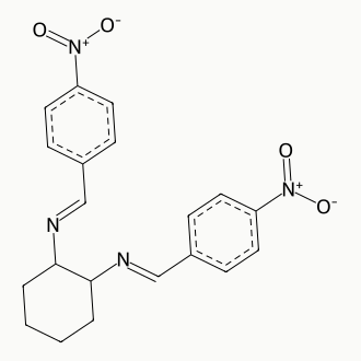 O=[N+]([O-])c1ccc(C=NC2CCCCC2N=Cc2ccc([N+](=O)[O-])cc2)cc1